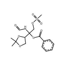 CC1(C)OCC(C(COS(C)(=O)=O)(NC=O)OC(=O)c2ccccc2)O1